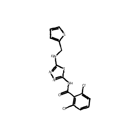 O=C(Nc1nnc(NCc2cccs2)s1)c1c(Cl)cccc1Cl